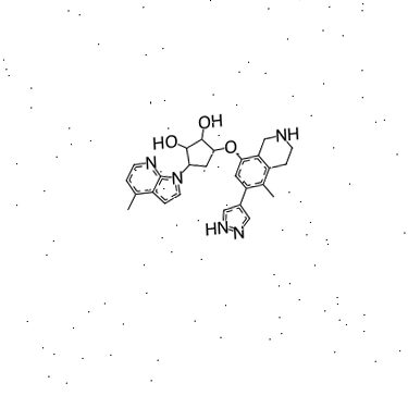 Cc1c(-c2cn[nH]c2)cc(OC2CC(n3ccc4c(C)ccnc43)C(O)C2O)c2c1CCNC2